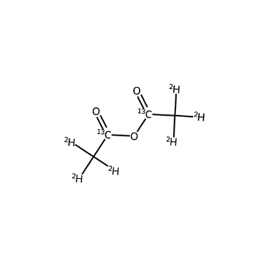 [2H]C([2H])([2H])[13C](=O)O[13C](=O)C([2H])([2H])[2H]